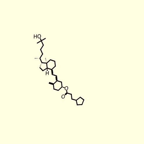 C=C1CC[C@H](OC(=O)CCC2CCCC2)C/C1=C/C=C1\CCC[C@]2(C)[C@@H]([C@H](C)CCCC(C)(C)O)CC[C@@H]12